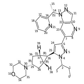 CCC(C)n1nc(-c2cnc3cnn([C@@H](C)c4ccccn4)c3c2)cc1[C@H]1[C@@H]2C[C@H](N3CCOCC3)C[C@@H]21